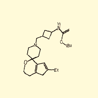 C=C(NC1CC(CN2CCC3(CC2)OCCC2=C3C=C(CC)C2)C1)OC(C)(C)C